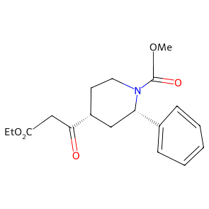 CCOC(=O)CC(=O)[C@@H]1CCN(C(=O)OC)[C@H](c2ccccc2)C1